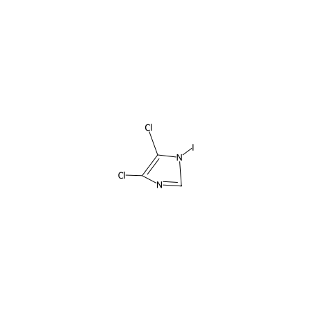 Clc1ncn(I)c1Cl